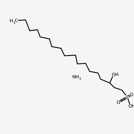 CCCCCCCCCCCCCCCC(O)CCS(=O)(=O)O.N